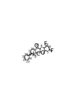 CC(=O)C(Cc1ccc(F)cc1F)C(=O)[C@H]1CC[C@H](c2ccccc2)CC1